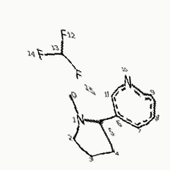 CN1CCCC1c1cccnc1.FC(F)F